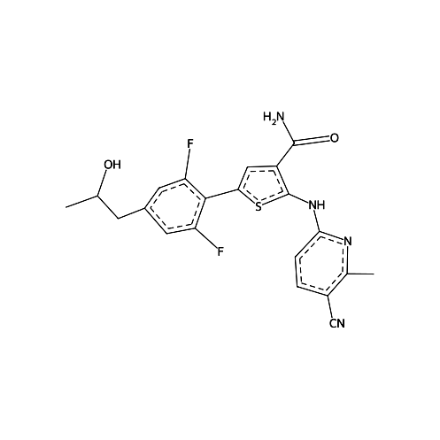 Cc1nc(Nc2sc(-c3c(F)cc(CC(C)O)cc3F)cc2C(N)=O)ccc1C#N